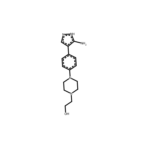 Nc1[nH]ncc1-c1ccc(N2CCN(CCO)CC2)cc1